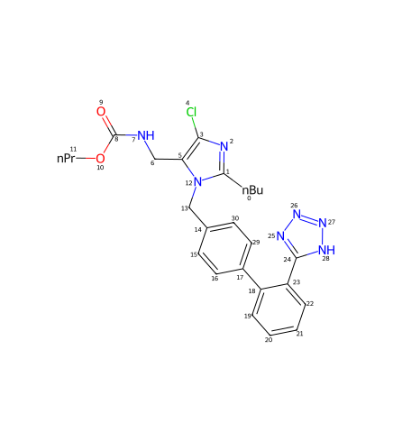 CCCCc1nc(Cl)c(CNC(=O)OCCC)n1Cc1ccc(-c2ccccc2-c2nnn[nH]2)cc1